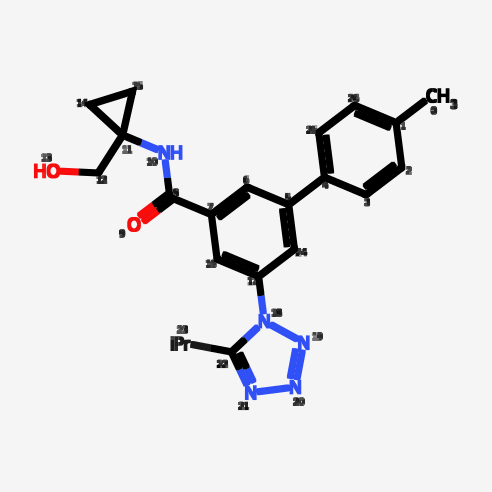 Cc1ccc(-c2cc(C(=O)NC3(CO)CC3)cc(-n3nnnc3C(C)C)c2)cc1